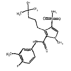 Cc1cc(NC(=O)c2c(CCCC(C)(O)C(F)(F)F)c(S(N)(=O)=O)cn2C)ccc1F